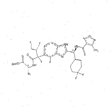 COC(=O)[C@H](NC(=O)C(F)(c1ccc2[nH]c([C@@H](NC(=O)c3nonc3C)C3CCC(F)(F)CC3)nc2c1F)C(F)CF)C(C)C